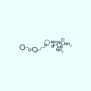 Nc1nc(N)c(C(=O)NC2CCCN(CCCc3ccc(OCc4ccccc4)cc3)C2)nc1Cl